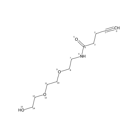 C#CCCC(=O)NCCOCCOCCO